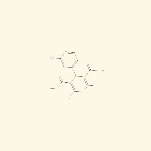 COC(=O)C1=C(C)NC(N)=C(C(=O)OC(C)C)C1c1cccc([N+](=O)[O-])c1